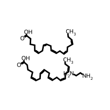 CC/C=C\C/C=C\C/C=C\C/C=C\C/C=C\CCCC(=O)O.CC/C=C\C/C=C\C/C=C\C/C=C\C/C=C\CCCC(=O)O.NCCN